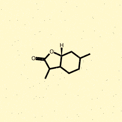 CC1CCC2C(C)C(=O)O[C@@H]2C1